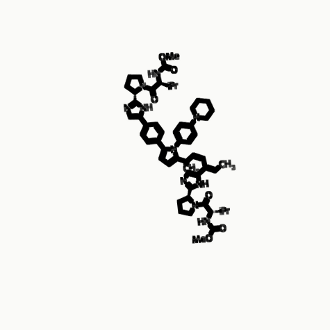 C=C(/C=C\C(=C/C)c1cnc([C@@H]2CCCN2C(=O)[C@@H](NC(=O)OC)C(C)C)[nH]1)c1ccc(-c2ccc(-c3cnc([C@@H]4CCCN4C(=O)[C@@H](NC(=O)OC)C(C)C)[nH]3)cc2)n1-c1ccc(N2CCCCC2)cc1